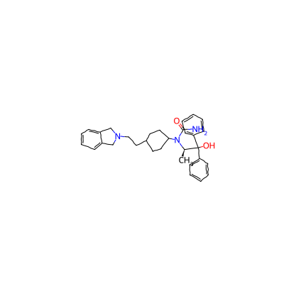 C[C@@H](N(C(N)=O)C1CCC(CCN2Cc3ccccc3C2)CC1)C(O)(c1ccccc1)c1ccccc1